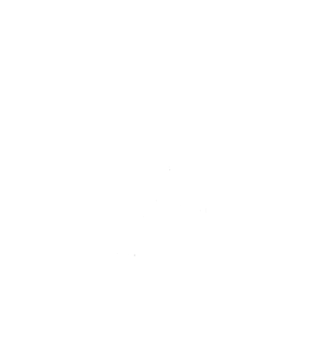 CCCCCCOC(C)OC(C)(OCC)OC(=O)c1ccccc1